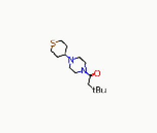 CC(C)(C)CC(=O)N1CCN(C2CCSCC2)CC1